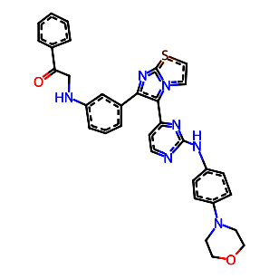 O=C(CNc1cccc(-c2nc3sccn3c2-c2ccnc(Nc3ccc(N4CCOCC4)cc3)n2)c1)c1ccccc1